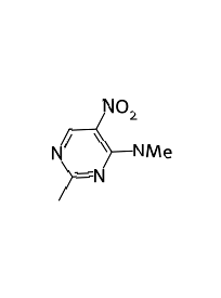 CNc1nc(C)ncc1[N+](=O)[O-]